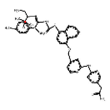 CCC(/C=C(/NC(=O)Nc1ccc(OCc2ccnc(Nc3cnc(CC(N)=O)cn3)c2)c2ccccc12)N(N)c1ccc(C)cc1)C(C)(C)C